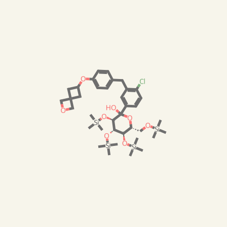 C[Si](C)(C)OC[C@H]1OC(O)(c2ccc(Cl)c(Cc3ccc(OC4CC5(COC5)C4)cc3)c2)[C@H](O[Si](C)(C)C)[C@@H](O[Si](C)(C)C)[C@@H]1O[Si](C)(C)C